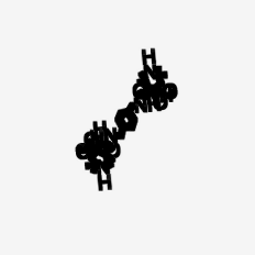 COC(=O)C1(NC(=O)NCc2ccc(CNC(=O)NC3(C(=O)OC)CC(C)(C)NC(C)(C)C3)cc2)CC(C)(C)NC(C)(C)C1